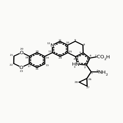 NC(c1[nH]c2c(c1C(=O)O)CCc1cnc(-c3ccc4c(c3)OCCO4)cc1-2)C1CC1